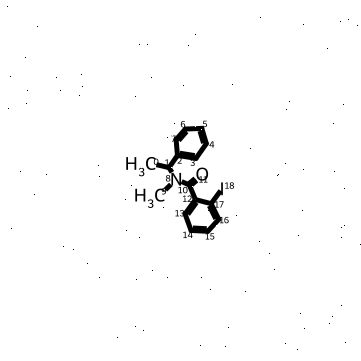 CC(c1ccccc1)N(C)C(=O)c1ccccc1I